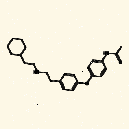 CC(=O)Nc1ccc(Oc2ccc(CCNCCC3CCCCC3)cc2)cc1